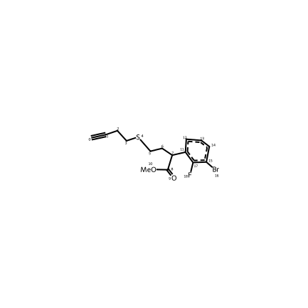 C#CCCSCCC(C(=O)OC)c1cccc(Br)c1F